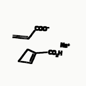 C=CC(=O)[O-].O=C(O)C1=CCC1.[Na+]